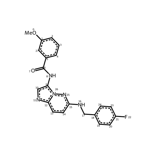 COc1cccc(C(=O)Nc2cnc3ccc(NCc4ccc(F)cc4)nn23)c1